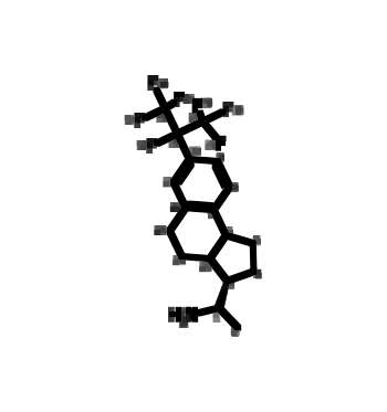 CC(N)[C@@H]1CCC2c3ccc(C(F)(C(F)(F)F)C(F)(F)F)cc3CCC21